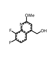 COc1cc(CO)c2ccc(F)c(F)c2n1